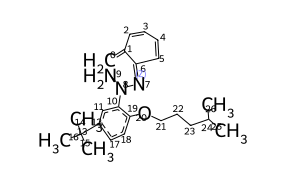 C=C1C=CC=C/C1=N/N(N)c1cc(C(C)(C)C)ccc1OCCCC(C)C